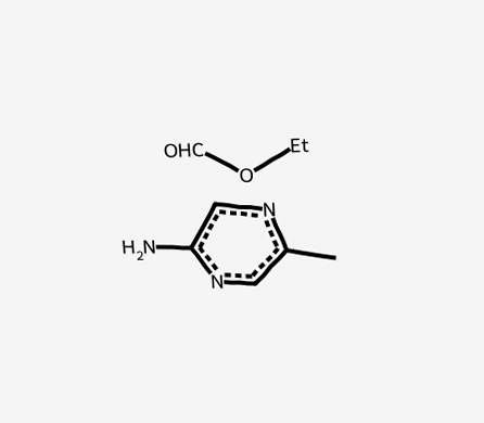 CCOC=O.Cc1cnc(N)cn1